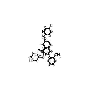 Cc1ccccc1-c1nc2ccc(Oc3ccc(F)cn3)cc2c(=O)n1CC1CCCNC1